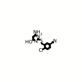 N#Cc1ccc(Cl)c(CSc2nc(N)cc(O)n2)c1